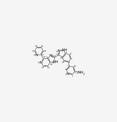 Nc1cncc(-c2ccc3[nH]nc(-c4nc5c(-c6ccccn6)nccc5[nH]4)c3c2)c1